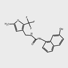 Cc1cc(CNC(=O)Nc2cccc3ccc(O)cc23)c(C(F)(F)F)o1